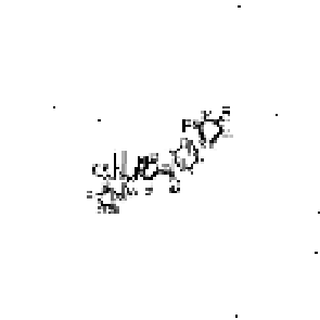 Cc1c(C(=O)N2CCN(c3ccc(F)cc3F)CC2)cnn1-c1nn2cccc2c(=O)[nH]1